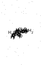 CC(C)(c1ccc(F)c(F)c1)c1cnc(SCc2ccc(S(N)(=O)=O)cc2Cl)n1-c1ccc(F)cc1